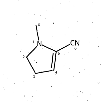 CN1CCC=C1C#N